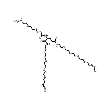 [N-]=[N+]=NCCOCCOCCOCCOCCNC(=O)CCC(NC(=O)CCOCCOCCNC(=O)O)C(=O)NCCOCCOCCOCCOCCN=[N+]=[N-]